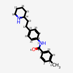 Cc1ccc(C(=O)Nc2ccc(CCC3CCCCN3)cc2)cc1